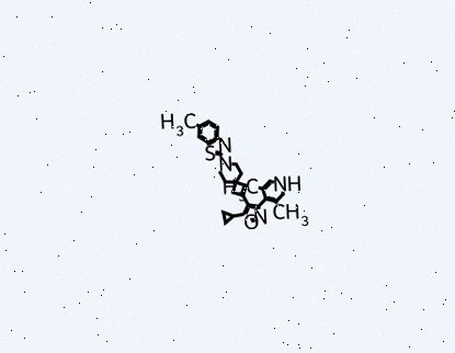 CC1=CNCC(C)=C1c1noc(C2CC2)c1C1=CC2(CCN(c3nc4ccc(C)cc4s3)CC2)C1